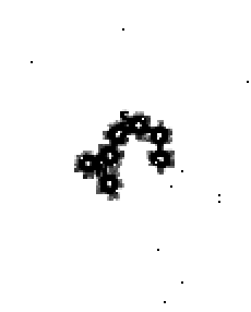 c1ccc(-c2cccc(-c3ccc4sc5ccc(-c6ccc7c(c6)c6ccccc6n7-c6ccccc6)cc5c4c3)c2)cc1